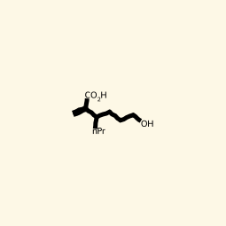 C=C(C(=O)O)C(CCC)CCCO